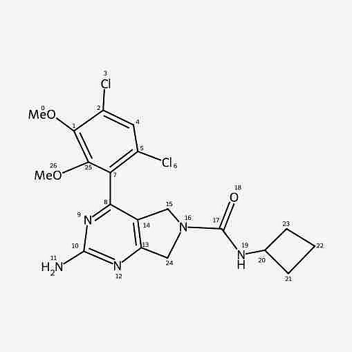 COc1c(Cl)cc(Cl)c(-c2nc(N)nc3c2CN(C(=O)NC2CCC2)C3)c1OC